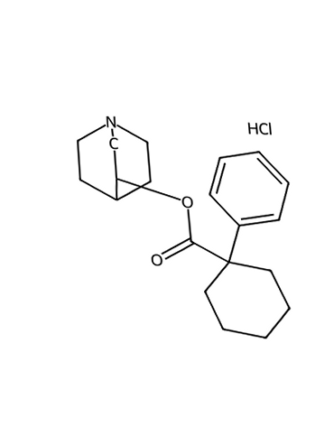 Cl.O=C(OC1CN2CCC1CC2)C1(c2ccccc2)CCCCC1